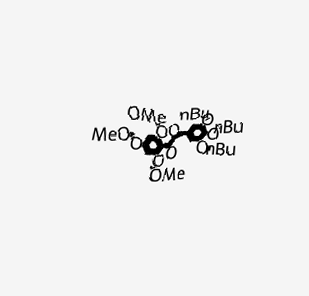 CCCCOc1cc(C2OC2C(=O)c2c(OCOC)cc(OCOC)cc2OCOC)cc(OCCCC)c1OCCCC